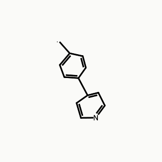 [CH2]c1ccc(-c2ccncc2)cc1